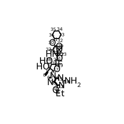 C#C[C@]1(O)[C@H](n2cnc3c(OCC)nc(N)nc32)O[C@](F)(CO[P@](C)(=O)N[C@@H](C)C(=O)OC2CCCCC2)[C@H]1O